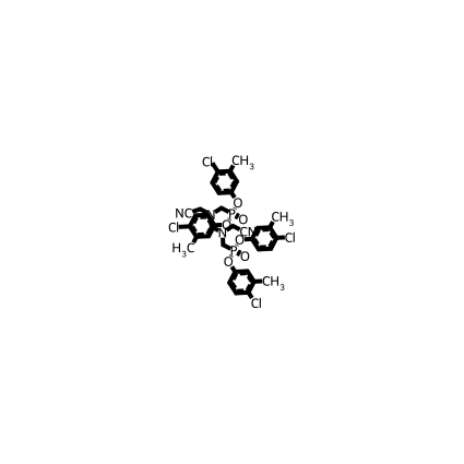 Cc1cc(OP(=O)(CN(CC#N)CN(CC#N)CP(=O)(Oc2ccc(Cl)c(C)c2)Oc2ccc(Cl)c(C)c2)Oc2ccc(Cl)c(C)c2)ccc1Cl